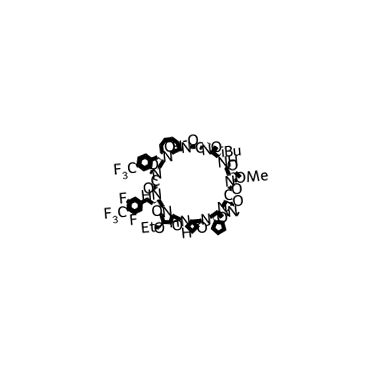 CCO[C@@H]1C[C@H]2C(=O)NC3(CCC3)C(=O)N(C)[C@@H](C3CCCC3)C(=O)N(C)[C@H](C(=O)N(C)C)CC(=O)N(C)[C@@H](COC)C(=O)N[C@@H]([C@@H](C)CC)C(=O)N(C)CC(=O)N(C)[C@H]3C/C=C\CCN(C3=O)[C@@H](Cc3ccc(C(F)(F)F)cc3)C(=O)N(C)CC(=O)N[C@@H](CCc3cc(F)c(C(F)(F)F)c(F)c3)C(=O)N2C1